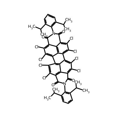 CC(C)c1cccc(C(C)C)c1N1C(=O)c2c(Cl)c(Cl)c3c4c(Cl)c(Cl)c5c6c(c(Cl)c(Cl)c(c7c(Cl)c(Cl)c(c2c37)C1=O)c64)C(=O)N(c1c(C(C)C)cccc1C(C)C)C5=O